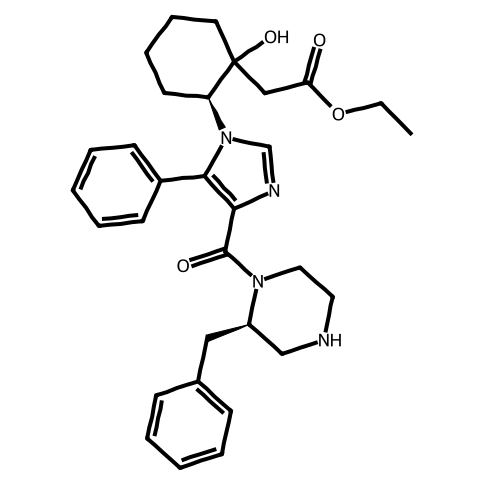 CCOC(=O)CC1(O)CCCC[C@@H]1n1cnc(C(=O)N2CCNC[C@H]2Cc2ccccc2)c1-c1ccccc1